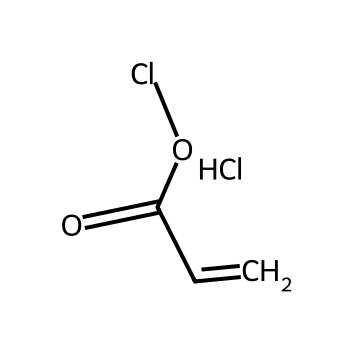 C=CC(=O)OCl.Cl